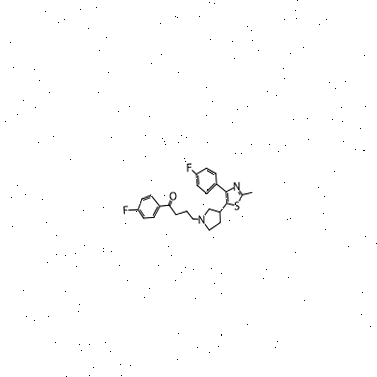 Cc1nc(-c2ccc(F)cc2)c(C2CCN(CCCC(=O)c3ccc(F)cc3)C2)s1